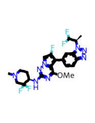 COc1nc(N[C@@H]2CCN(C)CC2(F)F)nn2cc(F)c(-c3ccc4nnn([C@H](C)C(F)F)c4c3)c12